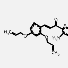 C=CCOc1ccc(/C=C/C(=O)c2sccc2N)c(OCC=C)c1